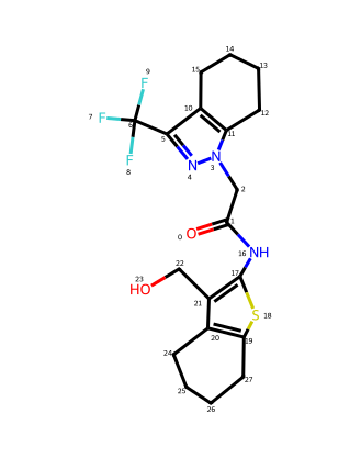 O=C(Cn1nc(C(F)(F)F)c2c1CCCC2)Nc1sc2c(c1CO)CCCC2